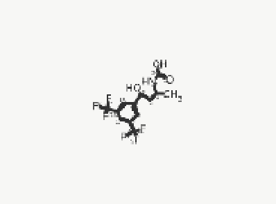 CC(CC(O)c1cc(C(F)(F)F)cc(C(F)(F)F)c1)NC(=O)O